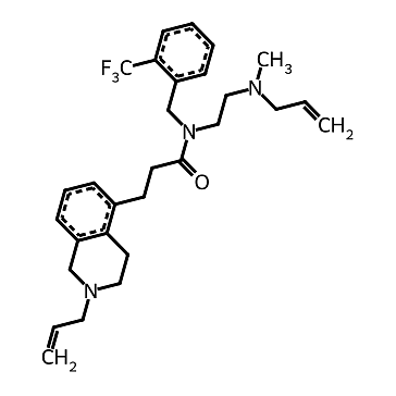 C=CCN(C)CCN(Cc1ccccc1C(F)(F)F)C(=O)CCc1cccc2c1CCN(CC=C)C2